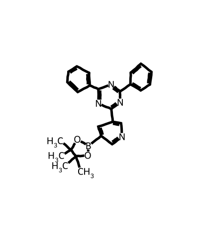 CC1(C)OB(c2cncc(-c3nc(-c4ccccc4)nc(-c4ccccc4)n3)c2)OC1(C)C